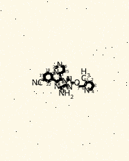 Cc1cccnc1COc1nc2c(N)nc(-c3cccc(C#N)c3)c(-c3ccncn3)n2n1